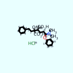 COC(CCc1ccccc1)(C(=O)O)C(CCC(Oc1ccccc1)N(C)C)C(=O)O.Cl